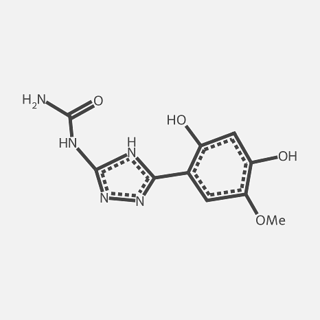 COc1cc(-c2nnc(NC(N)=O)[nH]2)c(O)cc1O